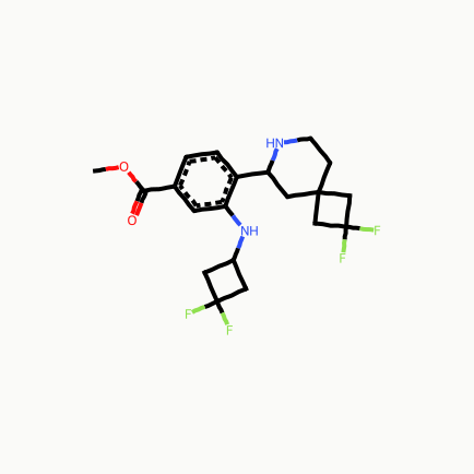 COC(=O)c1ccc(C2CC3(CCN2)CC(F)(F)C3)c(NC2CC(F)(F)C2)c1